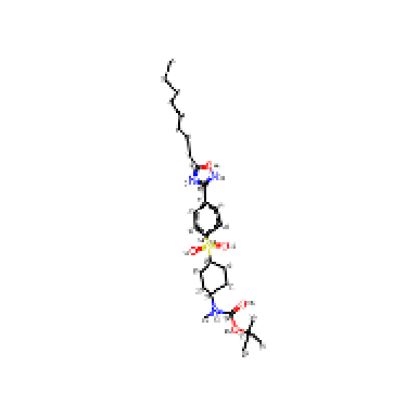 CCCCCCCCc1nc(-c2ccc(S(=O)(=O)C3CCC(N(C)C(=O)OC(C)(C)C)CC3)cc2)no1